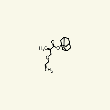 C=CCOCC(=C)C(=O)OC12CC3CC(CC(C3)C1)C2